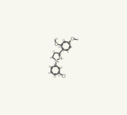 COc1ccc(C2=NN(c3cccc(Cl)c3)CC2)c(OC)c1